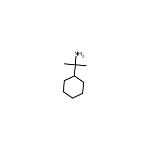 CC(C)(N)C1CCCCC1